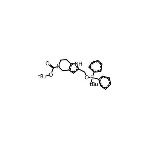 CC(C)(C)OC(=O)N1CCc2[nH]c(CO[Si](c3ccccc3)(c3ccccc3)C(C)(C)C)cc2C1